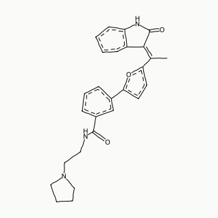 C/C(=C1\C(=O)Nc2ccccc21)c1ccc(-c2cccc(C(=O)NCCN3CCCC3)c2)o1